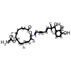 C[C@@H]1C/C=C\C(=O)O[C@H](/C=C/C#C/C=C/C(C)(C)[C@@H](O)c2cccc(O)c2Br)[C@@H](C)/C=C/[C@H](C)C[C@H](OC(N)=O)C1